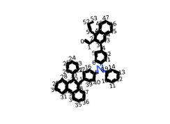 C=Cc1c(-c2ccc(N(c3ccccc3)c3ccc(-c4c(-c5ccccc5)c5ccccc5c5ccccc45)cc3)cc2)cc2ccccc2c1/C=C\C